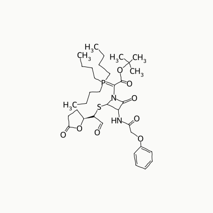 CCCCP(CCCC)(CCCC)=C(C(=O)OC(C)(C)C)N1C(=O)C(NC(=O)COc2ccccc2)C1SC(C=O)[C@@H]1CCC(=O)O1